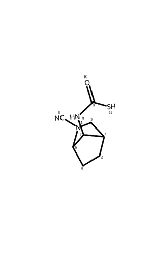 N#CN1CC2CCC1C2NC(=O)S